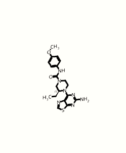 CC[C@H]1CN(C(=O)Nc2ccc(OC)cc2)CCN1c1nc(N)nc2scnc12